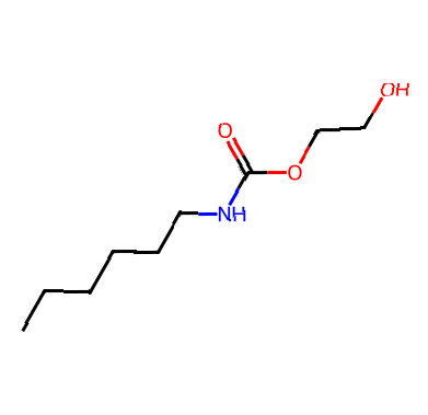 CCCCCCNC(=O)OCCO